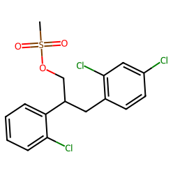 CS(=O)(=O)OCC(Cc1ccc(Cl)cc1Cl)c1ccccc1Cl